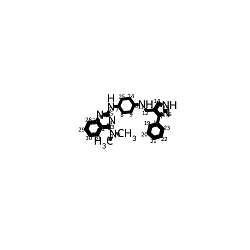 CN(C)c1nc(NC2CCC(NCc3c[nH]nc3-c3ccccc3)CC2)nc2ccccc12